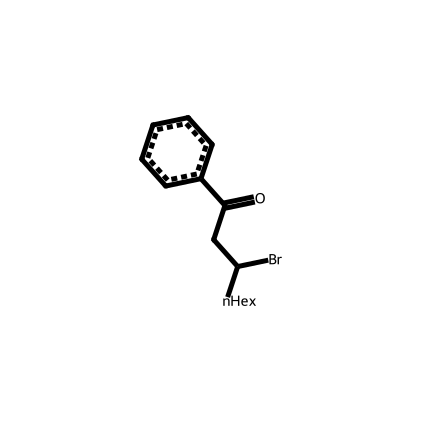 CCCCCCC(Br)CC(=O)c1ccccc1